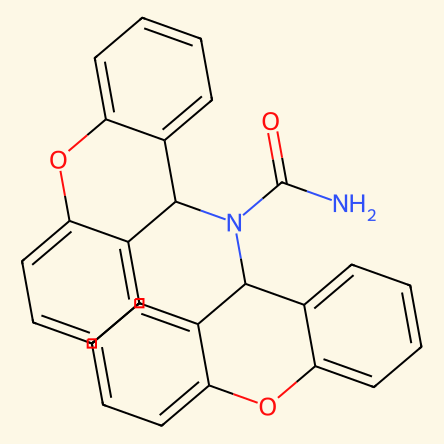 NC(=O)N(C1c2ccccc2Oc2ccccc21)C1c2ccccc2Oc2ccccc21